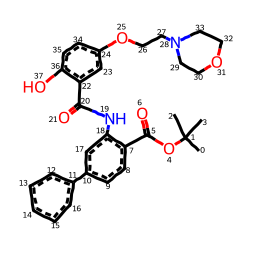 CC(C)(C)OC(=O)c1ccc(-c2ccccc2)cc1NC(=O)c1cc(OCCN2CCOCC2)ccc1O